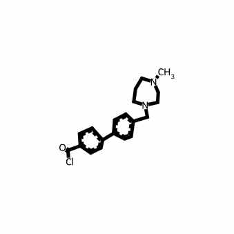 CN1CCCN(Cc2ccc(-c3ccc(C(=O)Cl)cc3)cc2)CC1